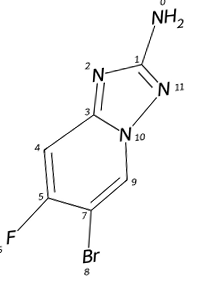 Nc1nc2cc(F)c(Br)cn2n1